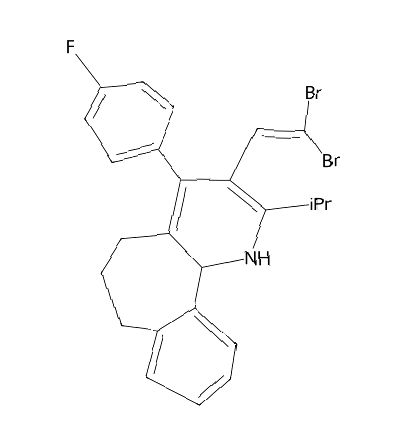 CC(C)C1=C(C=C(Br)Br)C(c2ccc(F)cc2)=C2CCCc3ccccc3C2N1